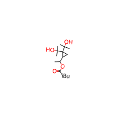 CCC(C)C(=O)OC(C)C1CC1(C(C)(C)O)C(C)(C)O